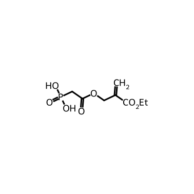 C=C(COC(=O)CP(=O)(O)O)C(=O)OCC